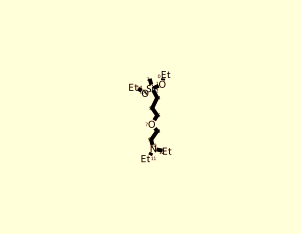 CCO[Si](C)(CCCOCCN(CC)CC)OCC